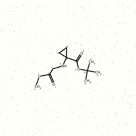 COC(=O)CNC1(C(=O)OC(C)(C)C)CC1